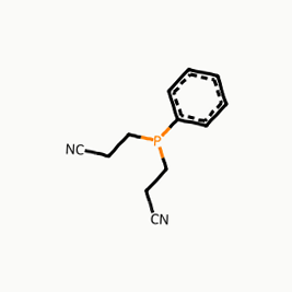 N#CCCP(CCC#N)c1ccccc1